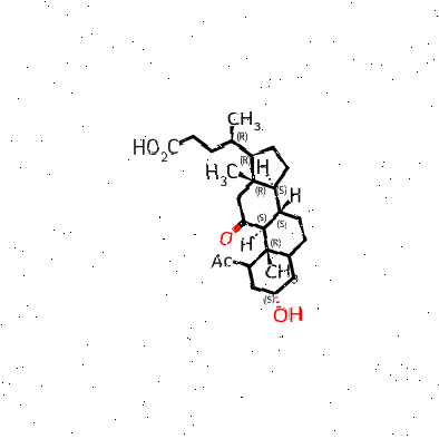 CC(=O)C1C[C@@H](O)CC2CC[C@@H]3[C@H](C(=O)C[C@]4(C)[C@@H]([C@H](C)CCC(=O)O)CC[C@@H]34)[C@]21C